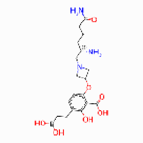 NC(=O)CCC[C@H](N)CN1CC(Oc2ccc(CCB(O)O)c(O)c2C(=O)O)C1